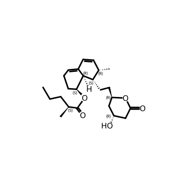 CCC[C@H](C)C(=O)O[C@H]1CCC=C2C=C[C@H](C)[C@H](CC[C@@H]3C[C@@H](O)CC(=O)O3)[C@H]21